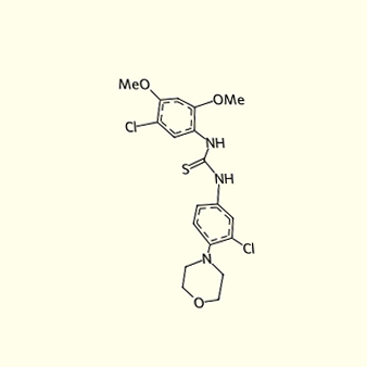 COc1cc(OC)c(NC(=S)Nc2ccc(N3CCOCC3)c(Cl)c2)cc1Cl